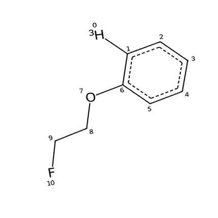 [3H]c1ccccc1OCCF